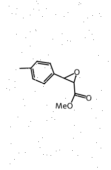 COC(=O)C1OC1c1ccc(C)cc1